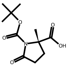 CC(C)(C)OC(=O)N1C(=O)CC[C@@]1(C)C(=O)O